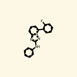 Fc1ccccc1-c1cccc2nc(Nc3ccccc3)nn12